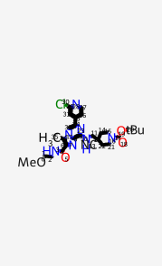 COCCNC(=O)c1nc2c(NCC3(C#N)CCN(C(=O)OC(C)(C)C)CC3)nc(-c3ccnc(Cl)c3)cn2c1C